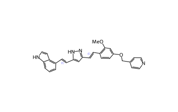 COc1cc(OCc2ccncc2)ccc1/C=C/c1cc(/C=C/c2cccc3[nH]ccc23)[nH]n1